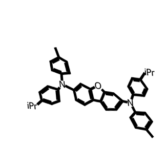 Cc1ccc(N(c2ccc(C(C)C)cc2)c2ccc3c(c2)oc2cc(N(c4ccc(C)cc4)c4ccc(C(C)C)cc4)ccc23)cc1